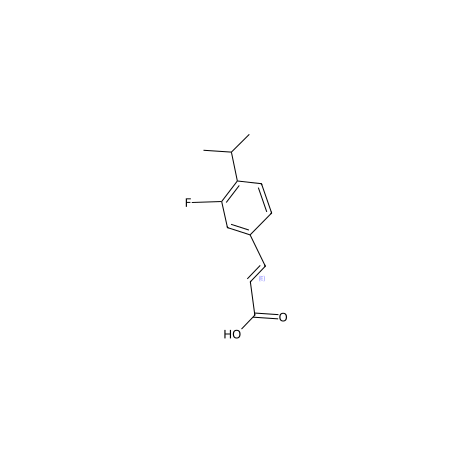 CC(C)c1ccc(/C=C/C(=O)O)cc1F